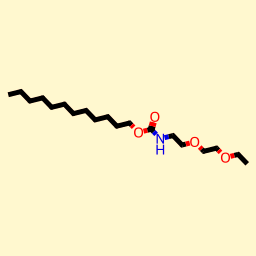 CCCCCCCCCCCCOC(=O)NCCOCCOCC